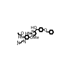 C=CC(=O)Nc1cc(Nc2nccc(C(O)c3ccc(OCc4ccccc4)cc3)n2)c(OC)cc1N(C)CCN(C)C